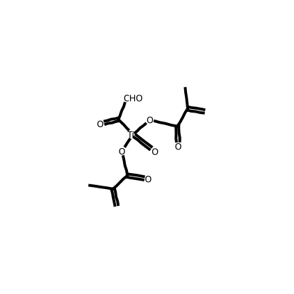 C=C(C)C(=O)[O][Ti](=[O])([O]C(=O)C(=C)C)[C](=O)C=O